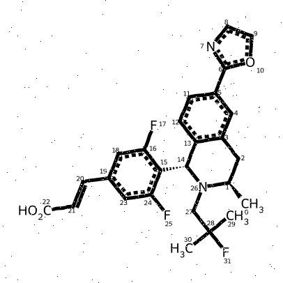 C[C@@H]1Cc2cc(-c3ncco3)ccc2[C@@H](c2c(F)cc(/C=C/C(=O)O)cc2F)N1CC(C)(C)F